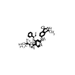 CC1NC(=O)c2ccc(Nc3cc(N[C@H](CF)c4ccccc4)c(-c4nnc(C(C)(C)O)o4)cn3)cc21